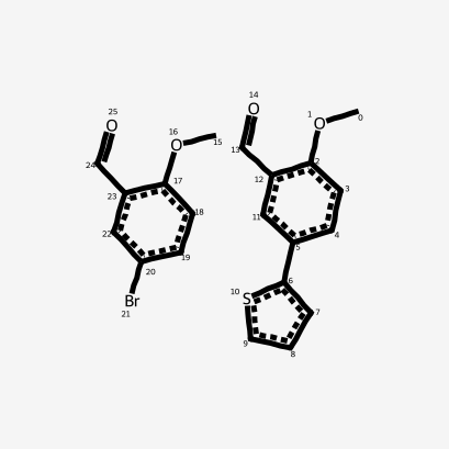 COc1ccc(-c2cccs2)cc1C=O.COc1ccc(Br)cc1C=O